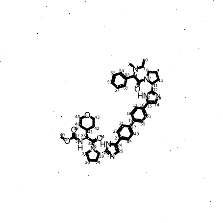 CCN(C)[C@@H](C(=O)N1CCC[C@H]1c1ncc(-c2ccc(-c3ccc(-c4cnc([C@@H]5CCCN5C(=O)[C@@H](NC(=O)OC)C5CCOCC5)[nH]4)cc3)cc2)[nH]1)c1ccccc1